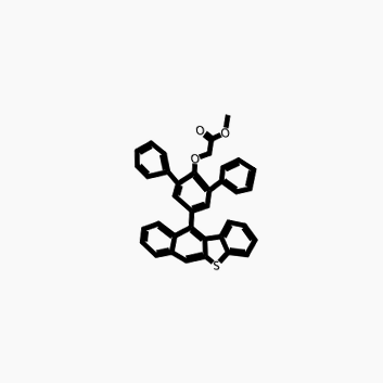 COC(=O)COc1c(-c2ccccc2)cc(-c2c3ccccc3cc3sc4ccccc4c23)cc1-c1ccccc1